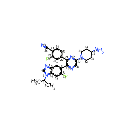 CC(C)n1cnc2cc(-c3ncc(N4CCC(N)CC4)nc3-c3ccc(C#N)c(F)c3)c(F)cc21